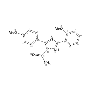 COc1ccc(-c2nc(-c3ccccc3OC)[nH]c2C(N)=O)cc1